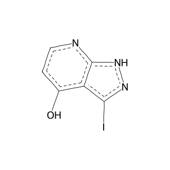 Oc1ccnc2[nH]nc(I)c12